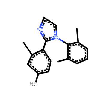 Cc1cc(C#N)ccc1-c1nccn1-c1c(C)cccc1C